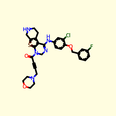 O=C(C#CCN1CCOCC1)N1CN=C(Nc2ccc(OCc3cccc(F)c3)c(Cl)c2)c2c1sc1c2CCNC1